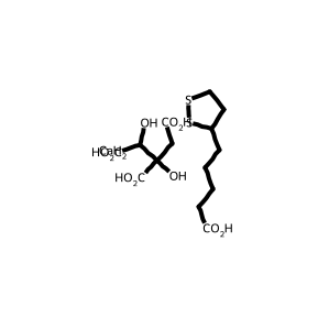 O=C(O)CC(O)(C(=O)O)C(O)C(=O)O.O=C(O)CCCCC1CCSS1.[CaH2]